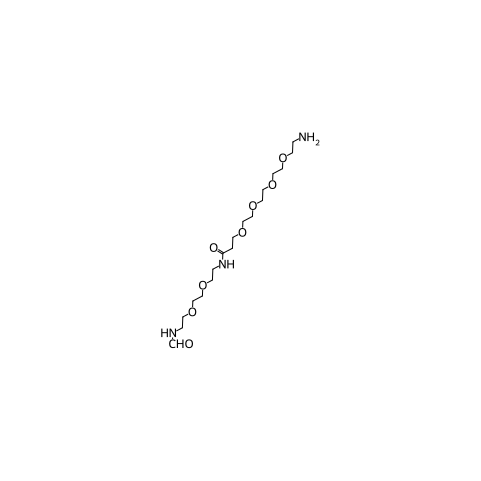 NCCOCCOCCOCCOCCC(=O)NCCOCCOCCNC=O